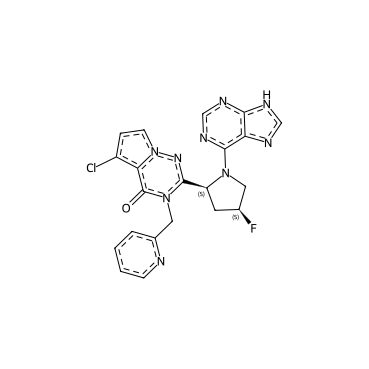 O=c1c2c(Cl)ccn2nc([C@@H]2C[C@H](F)CN2c2ncnc3[nH]cnc23)n1Cc1ccccn1